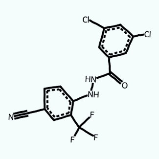 N#Cc1ccc(NNC(=O)c2cc(Cl)cc(Cl)c2)c(C(F)(F)F)c1